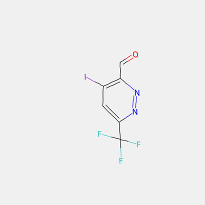 O=Cc1nnc(C(F)(F)F)cc1I